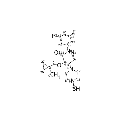 CC1(COc2c(N3CCN(S)CC3)cnn(-c3cc(F)cc(F)c3)c2=O)CC1